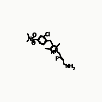 Cc1nn(CC(F)=CCN)c(C)c1Cc1ccc(S(=O)(=O)N(C)C)cc1Cl